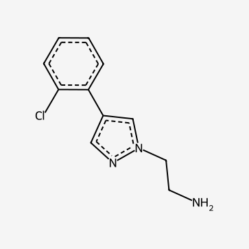 NCCn1cc(-c2ccccc2Cl)cn1